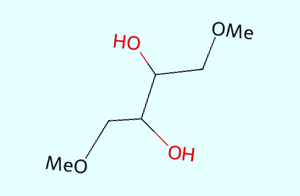 COCC(O)C(O)COC